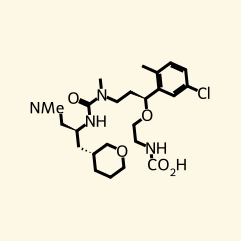 CNC[C@H](C[C@H]1CCCOC1)NC(=O)N(C)CC[C@H](OCCNC(=O)O)c1cc(Cl)ccc1C